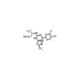 COCC(C)N/C(=N/C(=O)c1ccc(Cl)c(F)c1)Nc1cc(C(F)(F)F)n[nH]1